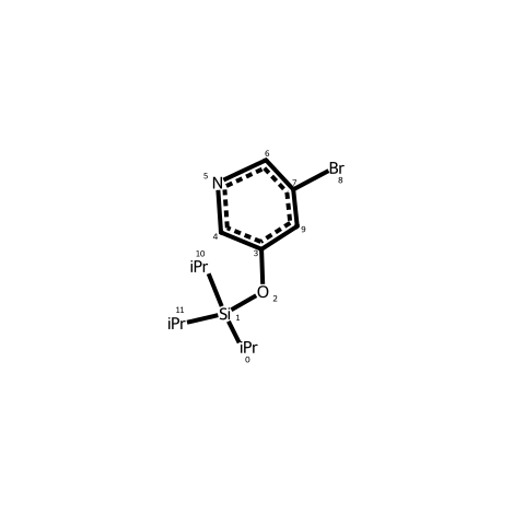 CC(C)[Si](Oc1cncc(Br)c1)(C(C)C)C(C)C